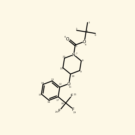 CC(C)(C)OC(=O)N1CCC(Oc2ccccc2C(F)(F)F)CC1